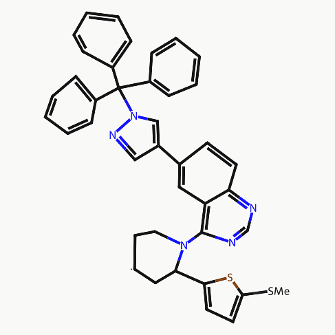 CSc1ccc(C2C[CH]CCN2c2ncnc3ccc(-c4cnn(C(c5ccccc5)(c5ccccc5)c5ccccc5)c4)cc23)s1